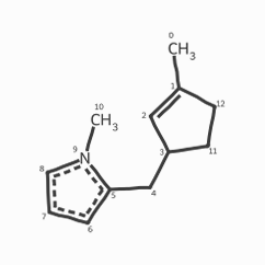 CC1=CC(Cc2cccn2C)CC1